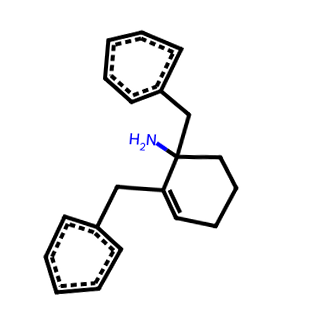 NC1(Cc2ccccc2)CCCC=C1Cc1ccccc1